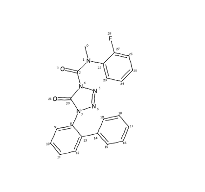 CN(C(=O)n1nnn(-c2ccccc2-c2ccccc2)c1=O)c1ccccc1F